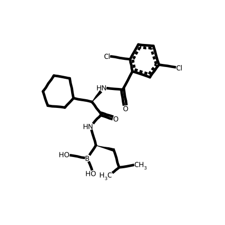 CC(C)C[C@H](NC(=O)[C@H](NC(=O)c1cc(Cl)ccc1Cl)C1CCCCC1)B(O)O